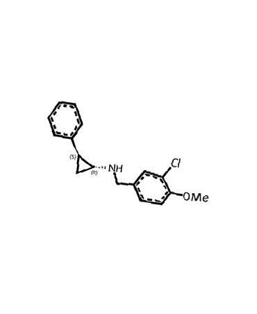 COc1ccc(CN[C@@H]2C[C@H]2c2ccccc2)cc1Cl